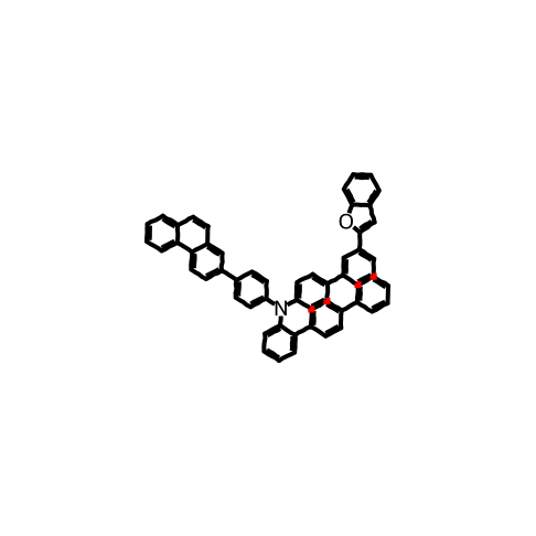 c1ccc(-c2ccc(-c3ccccc3N(c3ccc(-c4cccc(-c5cc6ccccc6o5)c4)cc3)c3ccc(-c4ccc5c(ccc6ccccc65)c4)cc3)cc2)cc1